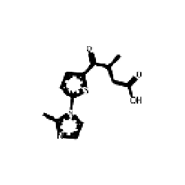 Cc1nccn1-c1ccc(C(=O)C(C)CC(=O)O)s1